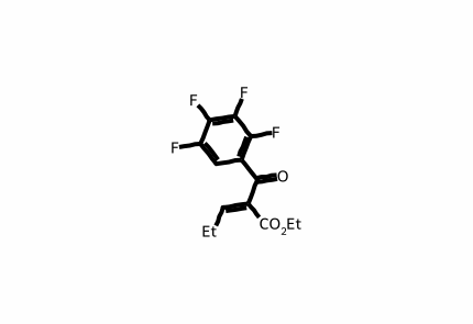 CCC=C(C(=O)OCC)C(=O)c1cc(F)c(F)c(F)c1F